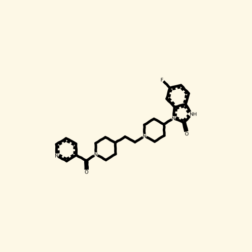 O=C(c1cccnc1)N1CCC(CCN2CCC(n3c(=O)[nH]c4ccc(F)cc43)CC2)CC1